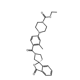 CCOC(=O)N1CCN(c2ccc(C(=O)N3CC[C@@]4(C3)OC(=O)c3ccccc34)c(C)c2)CC1